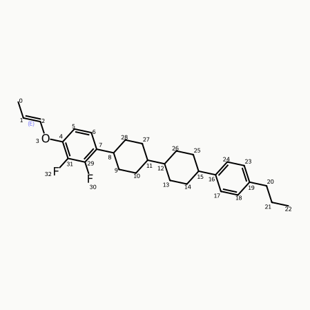 C/C=C/Oc1ccc(C2CCC(C3CCC(c4ccc(CCC)cc4)CC3)CC2)c(F)c1F